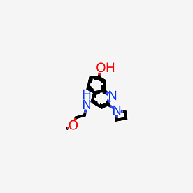 COCCNc1cc(N2CCC2)nc2cc(O)ccc12